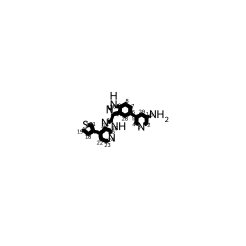 Nc1cncc(-c2ccc3[nH]nc(-c4nc5c(-c6ccsc6)ccnc5[nH]4)c3c2)c1